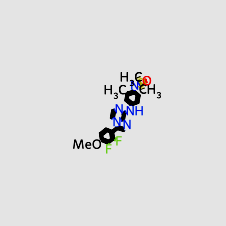 COc1ccc(-c2cnc3c(Nc4ccc(N=S(C)(C)=O)c(C)c4)nccn23)c(F)c1F